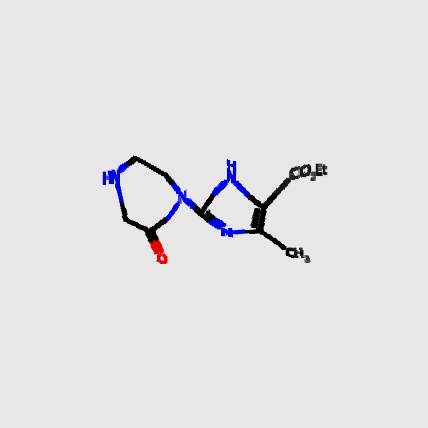 CCOC(=O)c1[nH]c(N2CCNCC2=O)nc1C